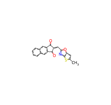 Cc1cc2oc(C=C3C(=O)c4cc5ccccc5cc4C3=O)nc2s1